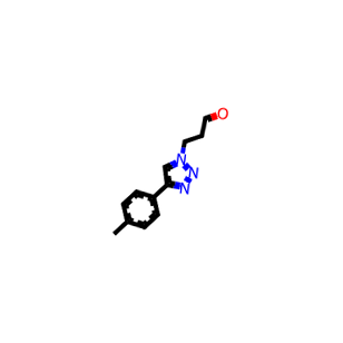 Cc1ccc(-c2cn(CCC=O)nn2)cc1